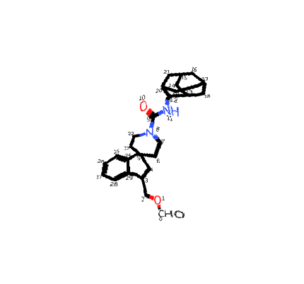 O=COCC1CC2(CCN(C(=O)NC3C4CC5CC(C4)CC3C5)CC2)c2ccccc21